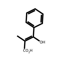 C/C(C(=O)O)=C(/O)c1ccccc1